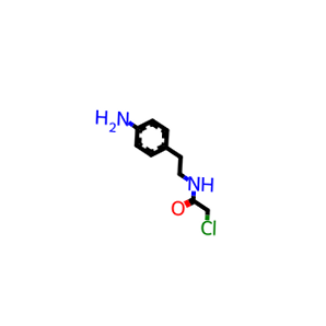 Nc1ccc(CCNC(=O)CCl)cc1